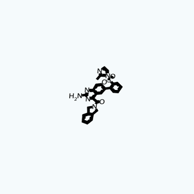 Cc1nccn1S(=O)(=O)c1ccccc1-c1ccc2nc(N)nc(C(=O)N3Cc4ccccc4C3)c2c1